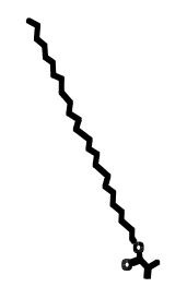 C=C(C)C(=O)OCCCCCCCCCCCCCCCCCCCCCCCCC